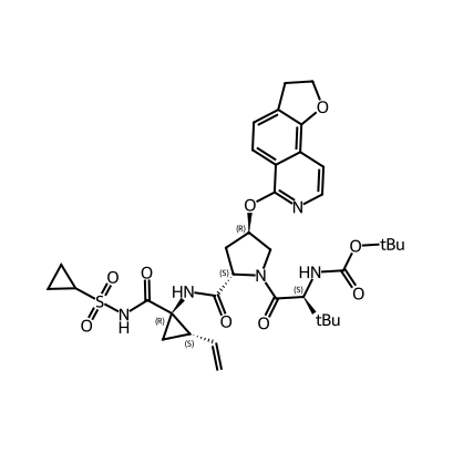 C=C[C@@H]1C[C@]1(NC(=O)[C@@H]1C[C@@H](Oc2nccc3c4c(ccc23)CCO4)CN1C(=O)[C@@H](NC(=O)OC(C)(C)C)C(C)(C)C)C(=O)NS(=O)(=O)C1CC1